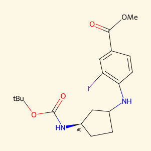 COC(=O)c1ccc(NC2CC[C@@H](NC(=O)OC(C)(C)C)C2)c(I)c1